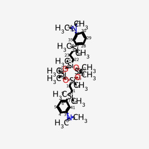 CN(C)c1cccc([Si](C)(C)CC[Si]2(C)O[Si](C)(C)O[Si](C)(CC[Si](C)(C)c3cccc(N(C)C)c3)O[Si](C)(C)O2)c1